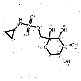 O=S(=O)(NC1CC1)OCC1(O)OC[C@@H](O)[C@@H](O)[C@@H]1O